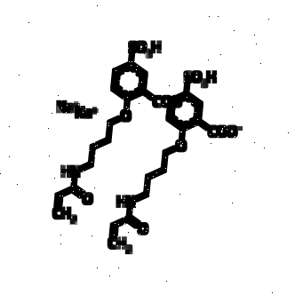 C=CC(=O)NCCCCOc1ccc(S(=O)(=O)O)cc1C(=O)[O-].C=CC(=O)NCCCCOc1ccc(S(=O)(=O)O)cc1C(=O)[O-].[Na+].[Na+]